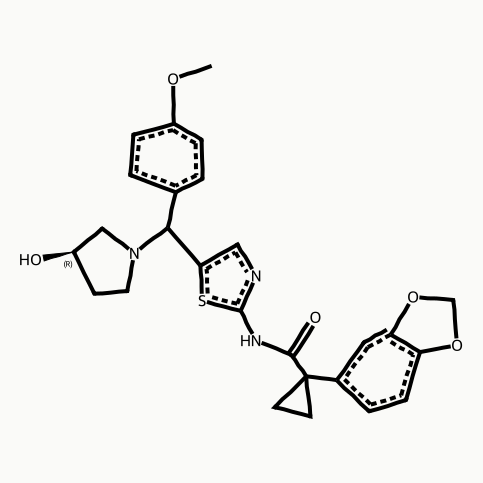 COc1ccc(C(c2cnc(NC(=O)C3(c4ccc5c(c4)OCO5)CC3)s2)N2CC[C@@H](O)C2)cc1